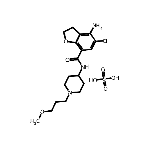 COCCCN1CCC(NC(=O)c2cc(Cl)c(N)c3c2OCC3)CC1.O=S(=O)(O)O